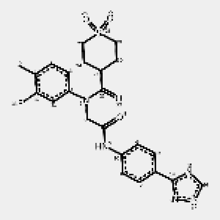 Cc1ccc(N(CC(=O)Nc2ccc(-c3ncon3)cc2)C(=O)C2CCS(=O)(=O)CC2)cc1F